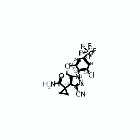 Cc1c(C2(C(N)=O)CC2)c(C#N)nn1-c1c(Cl)cc(S(F)(F)(F)(F)F)cc1Cl